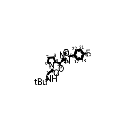 CC(C)(C)NCC(=O)N1CCCC1C(=O)c1noc(-c2ccc(F)cc2)n1